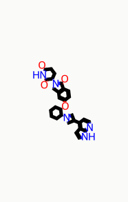 O=C1CCC(N2Cc3cc(O[C@@H]4CCCC[C@H]4N4CC(c5ccnc6[nH]ccc56)C4)ccc3C2=O)C(=O)N1